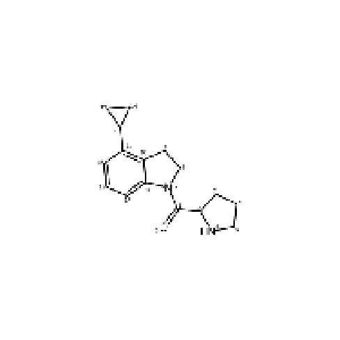 O=C(C1CCCN1)N1CCc2c(C3CC3)cccc21